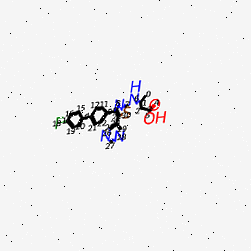 CC(CC(=O)O)Nc1nc(-c2ccc(-c3ccc(F)cc3)cc2)c(-c2cncnc2)s1